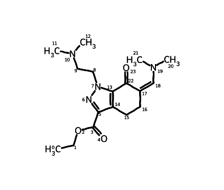 CCOC(=O)c1nn(CCN(C)C)c2c1CC/C(=C/N(C)C)C2=O